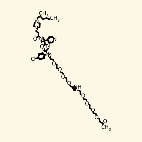 CCCCC(C)CN1CCN(CCC(=O)N2CC3(C2)C(=O)N(Cc2nc4cc(Cl)ccc4n2OCCOCCOCCOCCOCc2cn(CCOCCOCCOCCOCCC(C)=O)[nH]2)c2cnccc23)CC1